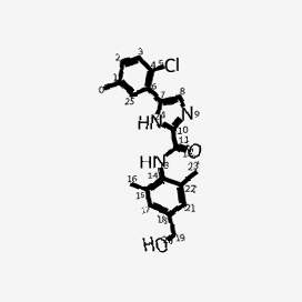 Cc1ccc(Cl)c(-c2cnc(C(=O)Nc3c(C)cc(CO)cc3C)[nH]2)c1